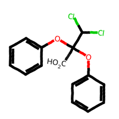 O=C(O)C(Oc1ccccc1)(Oc1ccccc1)C(Cl)Cl